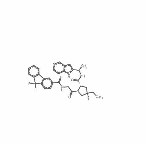 COC[C@@]1(F)C[C@@H](C(=O)N[C@H](C)c2cc3cnccc3[nH]2)N(C(=O)CNC(=O)c2ccc3c(c2)-c2ccccc2C3(F)F)C1